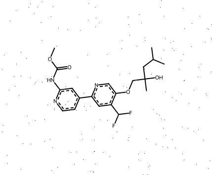 COC(=O)Nc1cc(-c2cc(C(F)F)c(OCC(C)(O)CC(C)C)cn2)ccn1